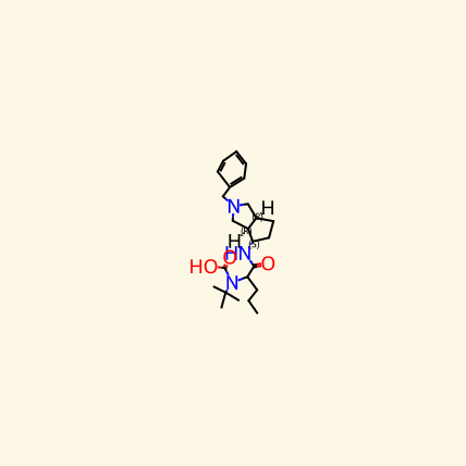 CCCC(C(=O)N[C@H]1CC[C@@H]2CN(Cc3ccccc3)C[C@@H]21)N(C(=O)O)C(C)(C)C